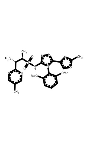 COc1cccc(OC)c1-n1c(NS(=O)(=O)[C@H](C)[C@@H](C)c2ncc(C)cn2)nnc1-c1csc(C)n1